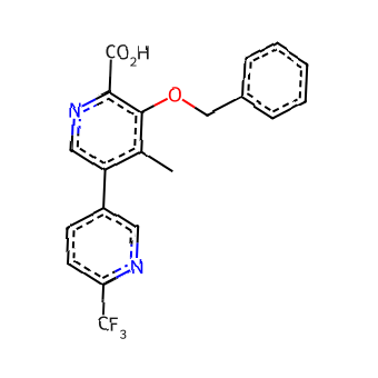 Cc1c(-c2ccc(C(F)(F)F)nc2)cnc(C(=O)O)c1OCc1ccccc1